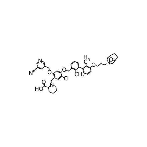 Cc1c(COc2cc(OCc3cncc(C#N)c3)c(CN3CCCC[C@H]3C(=O)O)cc2Cl)cccc1-c1cccc(OCCCN2CC3CCC(C2)O3)c1C